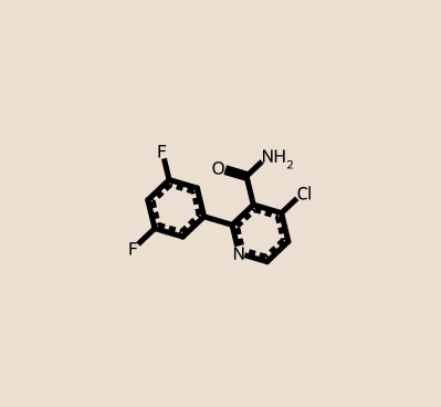 NC(=O)c1c(Cl)ccnc1-c1cc(F)cc(F)c1